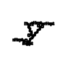 CCCCCCCC(CCCCCCC)OC(=O)CCCCCN(CCCC(=O)OC(CCCCCCC)CCCCCCC)C(=O)SCCCN(CC)CC